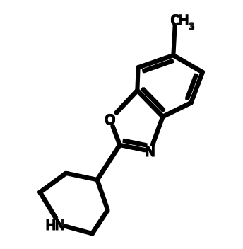 Cc1ccc2nc(C3CCNCC3)oc2c1